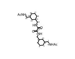 CC(=O)NCC1CCCC(CNC(=O)C(=O)NCC2CCCC(CNC(C)=O)C2)C1